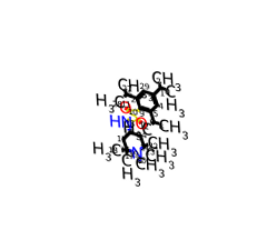 CC(C)c1cc(C(C)C)c(S(=O)(=O)NC2CC(C)(C)N(C)C(C)(C)C2)c(C(C)C)c1